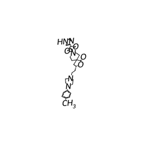 Cc1ccc(N2CCN(CC[C@H]3CC4(CCN(S(=O)(=O)c5c[nH]cn5)CC4)C(=O)O3)CC2)cc1